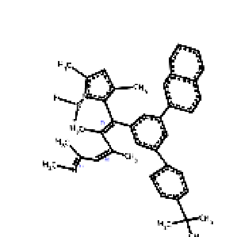 C/N=C(C)/C=C(C)\C(C)=C(/c1cc(-c2ccc(C(C)(C)C)cc2)cc(-c2ccc3ccccc3c2)c1)c1c(C)cc(C)n1B(F)F